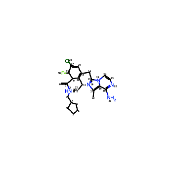 C=C(NCC1CCCC1)C1C(CC(C)C)=C(Cc2nc(C)c3c(N)nccn23)C=C(Cl)C1F